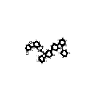 Clc1ccc2oc3ccc4nc(-n5c6ccccc6c6ccc(-c7ccc8c9ccccc9n(-c9ccccc9)c8c7)cc65)sc4c3c2c1